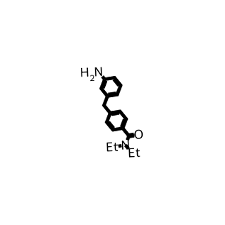 CCN(CC)C(=O)c1ccc(Cc2cccc(N)c2)cc1